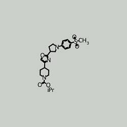 CC(C)OC(=O)N1CCC(c2coc(C3CCN(c4ccc(S(C)(=O)=O)cc4)C3)n2)CC1